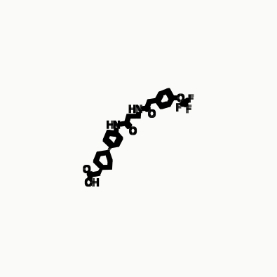 O=C(O)C[C@H]1CC[C@H](c2ccc(NC(=O)CCNC(=O)Cc3ccc(OC(F)(F)F)cc3)cc2)CC1